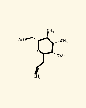 C=CC[C@H]1O[C@H](COC(C)=O)[C@@H](C)[C@H](C)[C@@H]1OC(C)=O